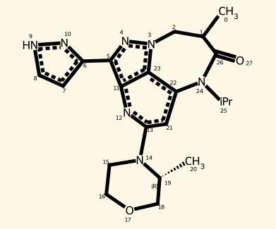 CC1Cn2nc(-c3cc[nH]n3)c3nc(N4CCOC[C@H]4C)cc(c32)N(C(C)C)C1=O